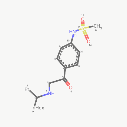 CCCCCCC(CC)NCC(=O)c1ccc(NS(C)(=O)=O)cc1